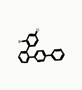 Clc1ccc(-c2ccccc2-c2ccc(-c3ccccc3)cc2)c(Br)c1